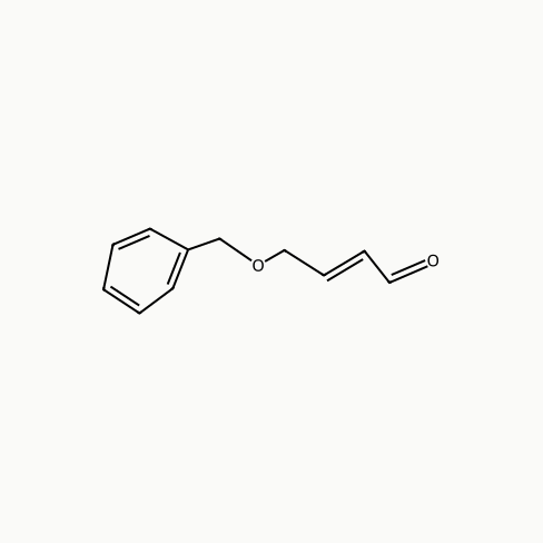 O=C/C=C/COCc1ccccc1